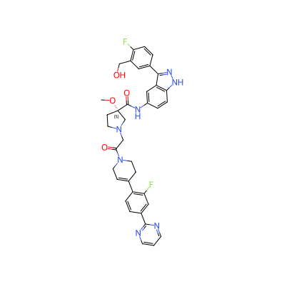 CO[C@@]1(C(=O)Nc2ccc3[nH]nc(-c4ccc(F)c(CO)c4)c3c2)CCN(CC(=O)N2CC=C(c3ccc(-c4ncccn4)cc3F)CC2)C1